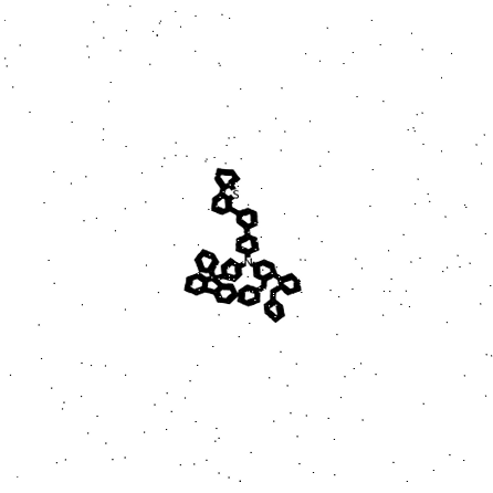 c1ccc(Cc2ccccc2-c2ccc(N(c3ccc(-c4cccc(-c5cccc6c5sc5ccccc56)c4)cc3)c3ccc(C4(c5ccccc5)c5ccccc5-c5ccccc54)cc3)cc2Cc2ccccc2)cc1